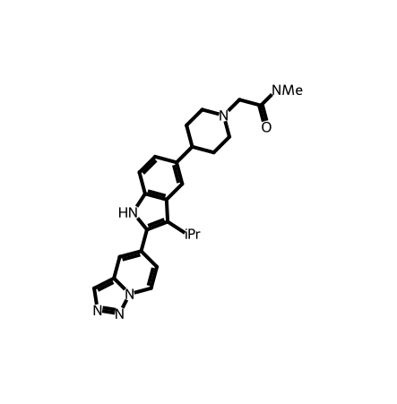 CNC(=O)CN1CCC(c2ccc3[nH]c(-c4ccn5nncc5c4)c(C(C)C)c3c2)CC1